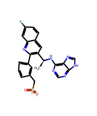 C[C@H](Nc1ncnc2[nH]cnc12)c1cc2ccc(F)cc2nc1-c1cccc(C[SH](=O)=O)c1